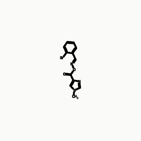 Cn1cnc(C(=O)ON=Cc2ccccc2Br)c1